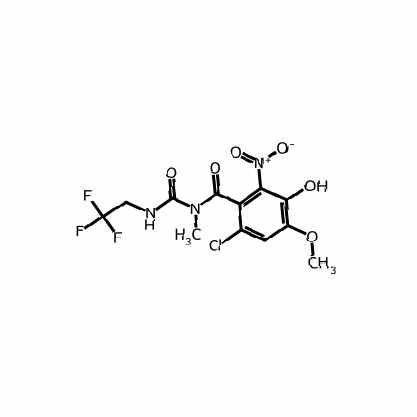 COc1cc(Cl)c(C(=O)N(C)C(=O)NCC(F)(F)F)c([N+](=O)[O-])c1O